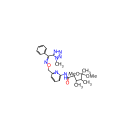 COC(C)(OC)C(C)C(C)CC(=O)Nc1cccc(CO/N=C(/c2ccccc2)c2nnnn2C)n1